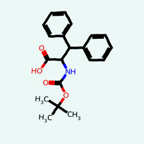 CC(C)(C)OC(=O)NC(C(=O)O)C(c1ccccc1)c1ccccc1